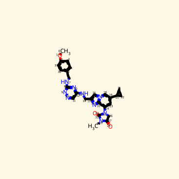 COc1ccc(CNc2nncc(NCc3cn4cc(C5CC5)cc(N5CC(=O)N(C)C5=O)c4n3)n2)cc1